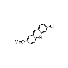 COc1[c]c2cc3ccc(Cl)cc3nc2cc1